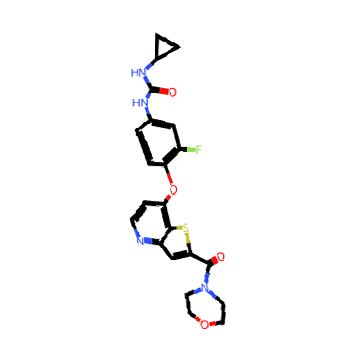 O=C(Nc1ccc(Oc2ccnc3cc(C(=O)N4CCOCC4)sc23)c(F)c1)NC1CC1